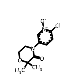 CC1(C)OCCN(c2ccc(Cl)[n+]([O-])c2)C1=O